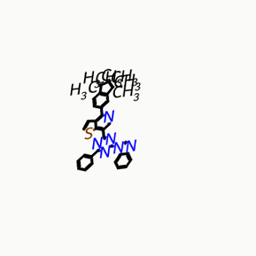 CC1(C)c2ccc(-c3ncc(-c4nc(-c5ccccc5)nc(-n5cnc6ccccc65)n4)c4sccc34)cc2C(C)(C)C1(C)C